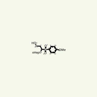 CCCCCCCC(C[N]O)S(=O)(=O)c1ccc(OC)cc1